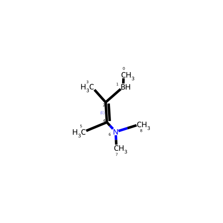 CB/C(C)=C(/C)N(C)C